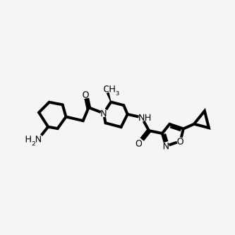 C[C@H]1CC(NC(=O)c2cc(C3CC3)on2)CCN1C(=O)CC1CCCC(N)C1